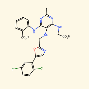 Cc1nc(NCC(=O)O)c(NCc2ncc(-c3cc(Cl)ccc3Cl)o2)c(Nc2ccccc2C(=O)O)n1